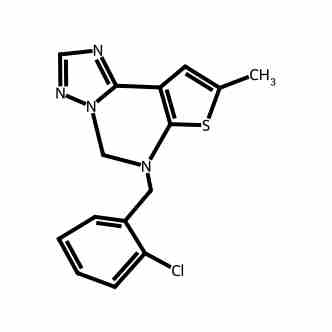 Cc1cc2c(s1)N(Cc1ccccc1Cl)Cn1ncnc1-2